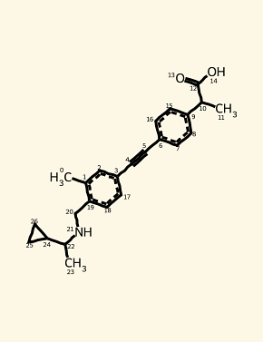 Cc1cc(C#Cc2ccc(C(C)C(=O)O)cc2)ccc1CNC(C)C1CC1